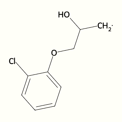 [CH2]C(O)COc1ccccc1Cl